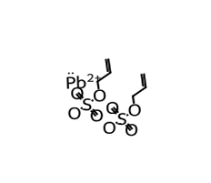 C=CCOS(=O)(=O)[O-].C=CCOS(=O)(=O)[O-].[Pb+2]